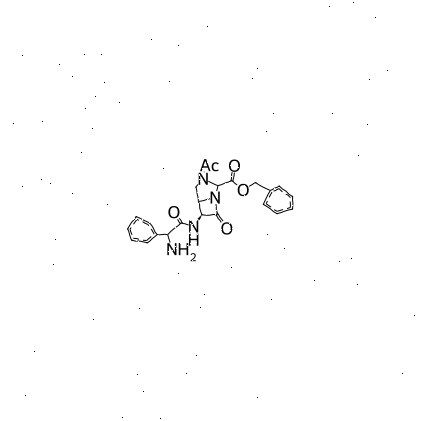 CC(=O)N1CC2[C@H](NC(=O)C(N)c3ccccc3)C(=O)N2C1C(=O)OCc1ccccc1